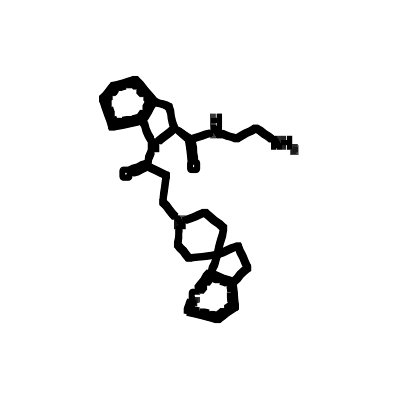 NCCNC(=O)[C@@H]1Cc2ccccc2N1C(=O)CCN1CCC2(CCc3ccccc32)CC1